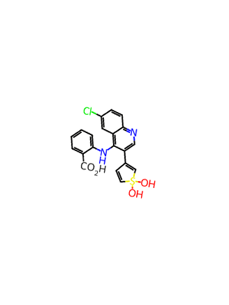 O=C(O)c1ccccc1Nc1c(C2=CS(O)(O)C=C2)cnc2ccc(Cl)cc12